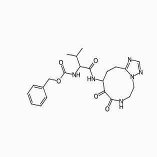 CC(C)C(NC(=O)OCc1ccccc1)C(=O)NC1CCc2ncnn2CCNC(=O)C1=O